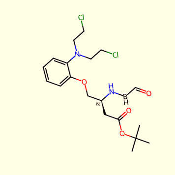 CC(C)(C)OC(=O)C[C@@H](COc1ccccc1N(CCCl)CCCl)NBC=O